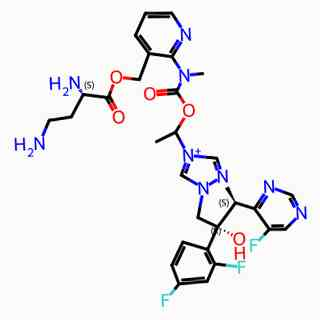 CC(OC(=O)N(C)c1ncccc1COC(=O)[C@@H](N)CCN)[n+]1cnn(C[C@](O)(c2ccc(F)cc2F)[C@@H](C)c2ncncc2F)c1